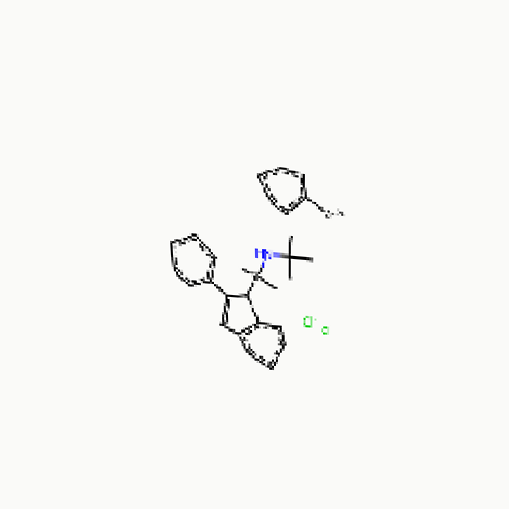 CC(C)(C)N[Si](C)(C)C1C(c2ccccc2)=Cc2ccccc21.[Cl-].[Cl-].[Zr+2][c]1ccccc1